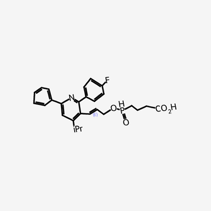 CC(C)c1cc(-c2ccccc2)nc(-c2ccc(F)cc2)c1/C=C/CO[PH](=O)CCCC(=O)O